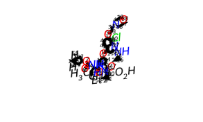 C=C(C)[C@H](NC(=O)O[C@@H]1C[C@@H]2C[C@@H]2C1)C(=O)N1C[C@H](Oc2cc(NC3CC3)nc3c(Cl)c(OCCN4CCOCC4)ccc23)C[C@H]1C(=O)N[C@]1(C(=O)O)C[C@H]1CC